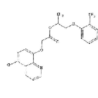 Cc1ccccc1OCC(C)OC(=O)COc1ccc(Cl)c2cccnc12